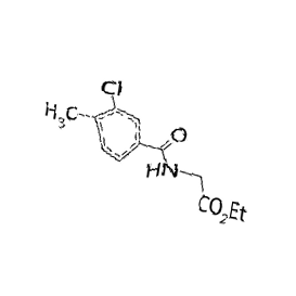 CCOC(=O)CNC(=O)c1ccc(C)c(Cl)c1